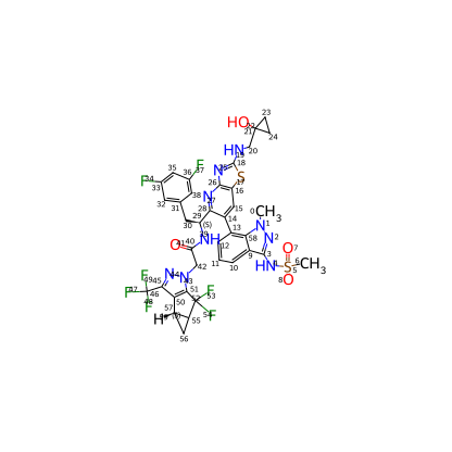 Cn1nc(NS(C)(=O)=O)c2cccc(-c3cc4sc(NCC5(O)CC5)nc4nc3[C@H](Cc3cc(F)cc(F)c3)NC(=O)Cn3nc(C(F)(F)F)c4c3C(F)(F)C3C[C@H]43)c21